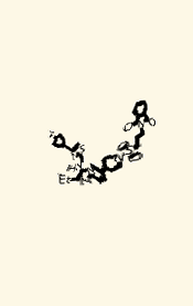 CCc1nc2ccc(C3CCN(S(=O)(=O)CCCN4C(=O)c5ccccc5C4=O)CC3)cn2c1NCc1nc(-c2ccc(F)cc2)cs1